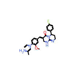 C=CN(/C=C(/C)N)c1ccc(/C=C2\CNC3=NCCC(c4ccc(F)cc4)N3C2=O)cc1OC